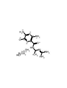 CC(N=C(N)N)NC(=O)c1nc(Cl)c(N)nc1N.Cl.O.O.O